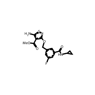 COC(=O)c1c(OCc2cc(F)cc(C(=O)NC3CC3)c2)nsc1N